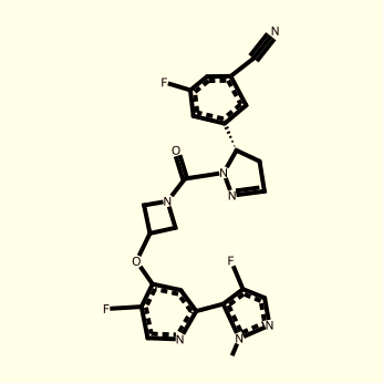 Cn1ncc(F)c1-c1cc(OC2CN(C(=O)N3N=CC[C@H]3c3cc(F)cc(C#N)c3)C2)c(F)cn1